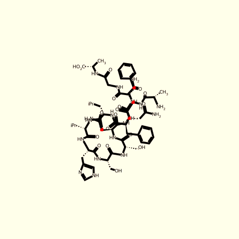 CC(C)C[C@H](NC(=O)[C@H](Cc1ccccc1)NC(=O)[C@H](CC(N)=O)NC(=O)[C@H](C)N)C(=O)N[C@H](C(=O)N[C@@H](Cc1c[nH]cn1)C(=O)N[C@@H](CO)C(=O)N[C@@H](CO)C(=O)N[C@@H](CC(N)=O)C(=O)N[C@@H](CC(N)=O)C(=O)N[C@@H](Cc1ccccc1)C(=O)NCC(=O)N[C@@H](C)C(=O)O)C(C)C